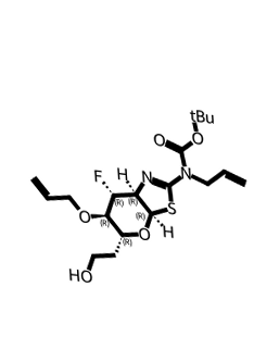 C=CCO[C@H]1[C@H](F)[C@H]2N=C(N(CC=C)C(=O)OC(C)(C)C)S[C@H]2O[C@@H]1CCO